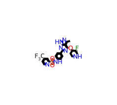 Cc1n[nH]c2nc(-c3ccc(NS(=O)(=O)c4cc(C(F)(F)F)ccn4)cc3)nc(O[C@@H]3CCNC[C@@H]3F)c12